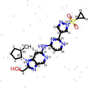 C[C@@H]1CCC[C@H]1n1c(CO)nc2cnc(Nc3ccnc(-c4cnn(S(=O)(=O)C5CC5)c4)n3)cc21